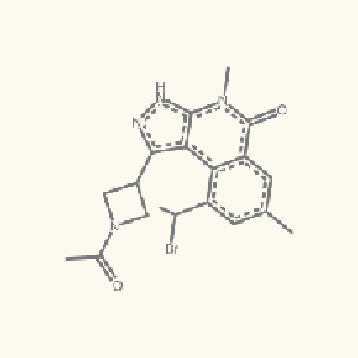 CC(=O)N1CC(c2n[nH]c3c2c2c(C(C)Br)cc(C)cc2c(=O)n3C)C1